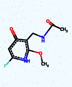 COc1[nH]c(F)cc(=O)c1CNC(C)=O